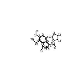 CCc1ccc2c(N(C)C3CCCC3)nn(C)c2c1CC